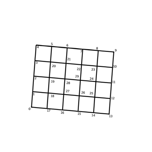 C1C2C3C4C5C6C7C8C59CC5C%10C%11CC%12C%13C%14C1C21C32C46C73C84C59C%105C%11%12C%136C%141C23C564